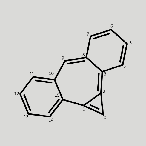 C1=C2C1=c1ccccc1=Cc1ccccc12